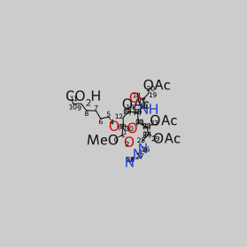 COC(=O)[C@@]1(OCCCCCCC(=O)O)C[C@H](OC(C)=O)[C@@H](NC(=O)COC(C)=O)[C@H]([C@H](OC(C)=O)[C@@H](CN=[N+]=[N-])OC(C)=O)O1